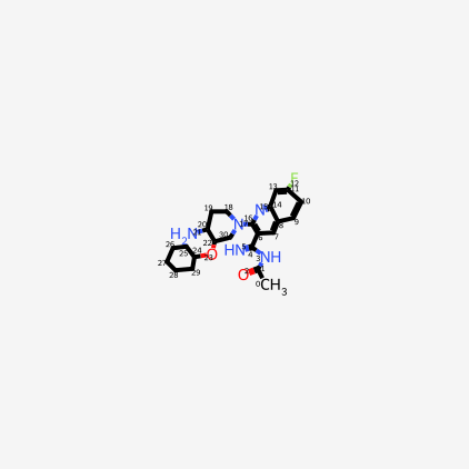 CC(=O)NC(=N)c1cc2ccc(F)cc2nc1N1CCC(N)C(OC2CCCCC2)C1